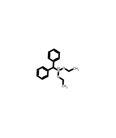 CCO[SiH](OCC)C(c1ccccc1)c1ccccc1